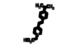 CN(C)c1ccc(/C=C/c2cc[n+](CC(=O)O)cc2)cc1